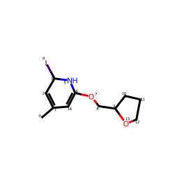 CC1=CC(I)NC(OCC2CCCO2)=C1